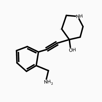 NCc1ccccc1C#CC1(O)[CH]CNCC1